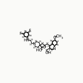 COc1ccc2ncc(CO)c(CCCC3(C(=O)O)CCN(CCNc4cc(F)cc(F)c4)CC3)c2c1